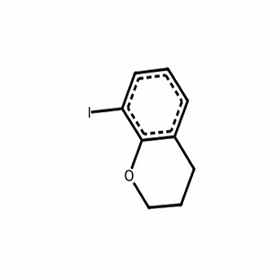 Ic1cccc2c1OCCC2